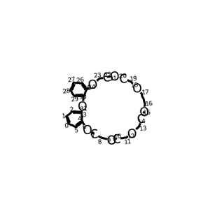 c1ccc2c(c1)OCCOCCOCCOCCOCCOCCOc1ccccc1O2